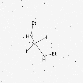 CCN[Si](I)(I)NCC